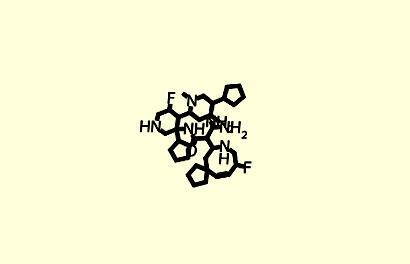 CC1CC(C2C(F)CNCC2(NC(=O)C(C(N)N)C2CC3(/C=C\C(F)CN2)CCCC3)C2CCCC2)N(C)CC1C1CCCC1